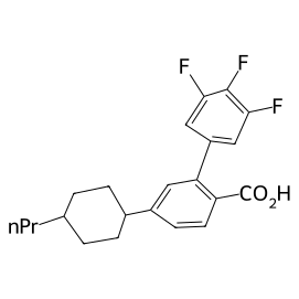 CCCC1CCC(c2ccc(C(=O)O)c(-c3cc(F)c(F)c(F)c3)c2)CC1